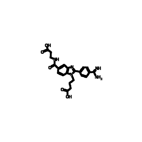 N=C(N)c1ccc(-c2nc3cc(C(=O)NCCC(=O)O)ccc3n2CCCC(=O)O)cc1